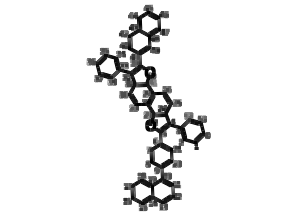 c1ccc(-c2c(-c3ccc(-c4cccc5ccccc45)cc3)oc3c2ccc2c3ccc3c(-c4ccccc4)c(-c4ccc5ccccc5c4)oc32)cc1